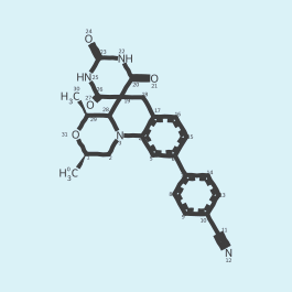 C[C@@H]1CN2c3cc(-c4ccc(C#N)cc4)ccc3CC3(C(=O)NC(=O)NC3=O)C2[C@H](C)O1